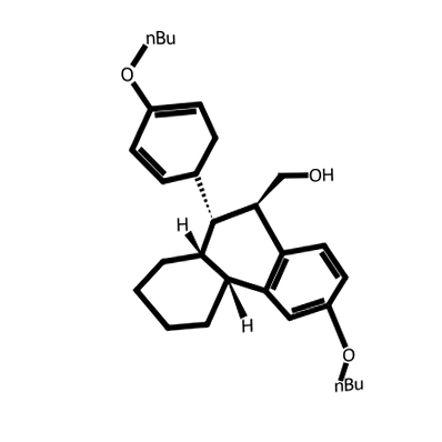 CCCCOC1=CCC([C@H]2[C@H]3CCCC[C@H]3c3cc(OCCCC)ccc3[C@@H]2CO)C=C1